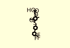 COc1cc(OCC(=O)O)c(C)cc1SCc1ccc(-c2cccc(C(F)(F)F)c2)cc1